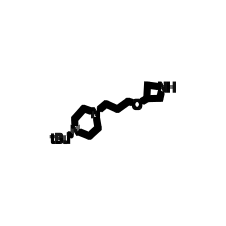 CC(C)(C)N1CCN(CCCOC2CNC2)CC1